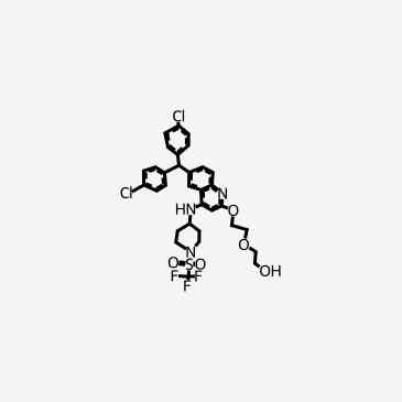 O=S(=O)(N1CCC(Nc2cc(OCCOCCO)nc3ccc(C(c4ccc(Cl)cc4)c4ccc(Cl)cc4)cc23)CC1)C(F)(F)F